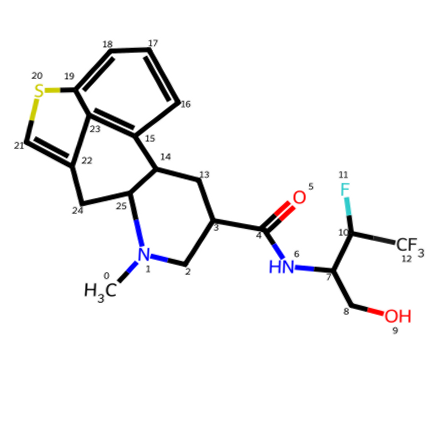 CN1CC(C(=O)NC(CO)C(F)C(F)(F)F)CC2c3cccc4scc(c34)CC21